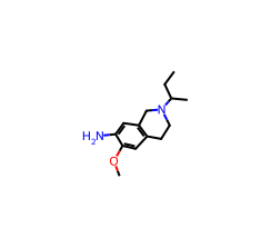 CCC(C)N1CCc2cc(OC)c(N)cc2C1